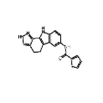 O=C(Nc1ccc2[nH]c3c(c2c1)CCc1c[nH]nc1-3)c1cccs1